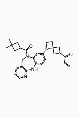 C=CC(=O)N1CC2(CCN2c2ccc3c(c2)N(C(=O)C2CC(C)(C)C2)Cc2cccnc2N3)C1